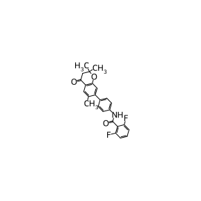 Cc1cc2c(cc1-c1ccc(NC(=O)c3c(F)cccc3F)cc1)OC(C)(C)CC2=O